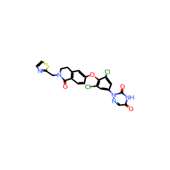 O=C1c2ccc(Oc3c(Cl)cc(-n4ncc(=O)[nH]c4=O)cc3Cl)cc2CCN1Cc1nccs1